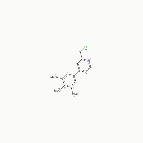 COc1cc(-c2ccnc(CCl)c2)cc(OC)c1OC